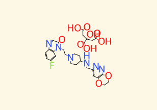 O=C(O)CC(O)(CC(=O)O)C(=O)O.O=c1cnc2ccc(F)cc2n1CCN1CCC(NCc2cc3c(nn2)OCCO3)CC1